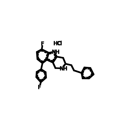 Cl.Fc1ccc(-c2ccc(F)c3[nH]c4c(c23)CNC(CCc2ccccc2)C4)cc1